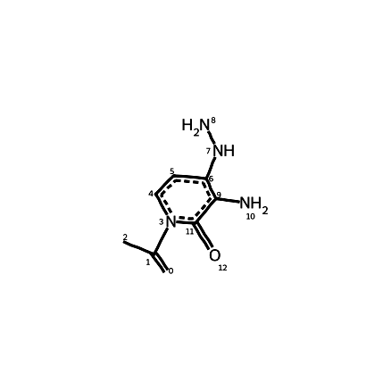 C=C(C)n1ccc(NN)c(N)c1=O